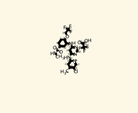 CNS(=O)(=O)c1ccc(OCC(F)(F)F)c(Nc2cc(Nc3cc(C)c(Cl)cn3)ncn2)c1.O=C(O)C(F)(F)F